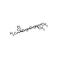 CCCC/C(=C/OCCOCCOCCO/C=C(\CC)CCCC)CC